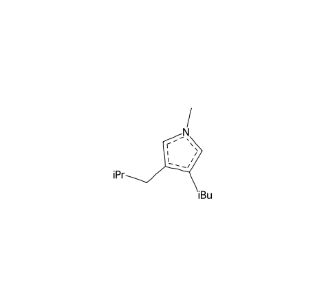 CCC(C)c1cn(C)cc1CC(C)C